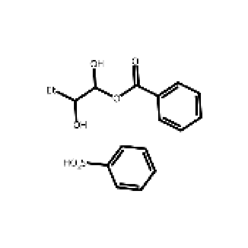 CCC(O)C(O)OC(=O)c1ccccc1.O=S(=O)(O)c1ccccc1